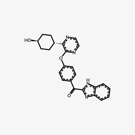 O=C(c1ccc(Oc2nccnc2[C@H]2CC[C@H](O)CC2)cc1)c1nc2ccccc2[nH]1